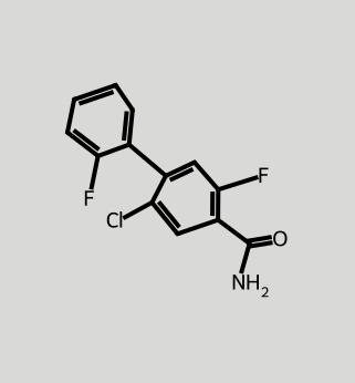 NC(=O)c1cc(Cl)c(-c2ccccc2F)cc1F